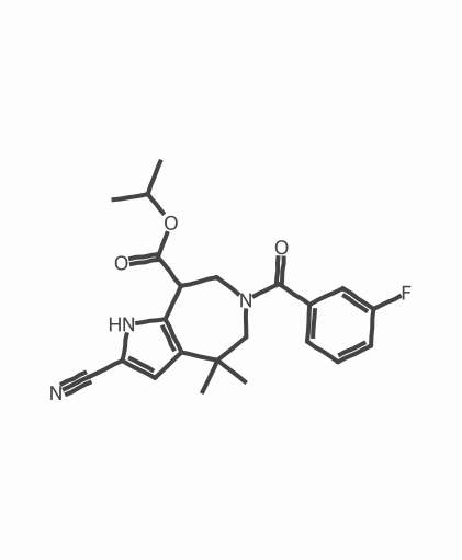 CC(C)OC(=O)C1CN(C(=O)c2cccc(F)c2)CC(C)(C)c2cc(C#N)[nH]c21